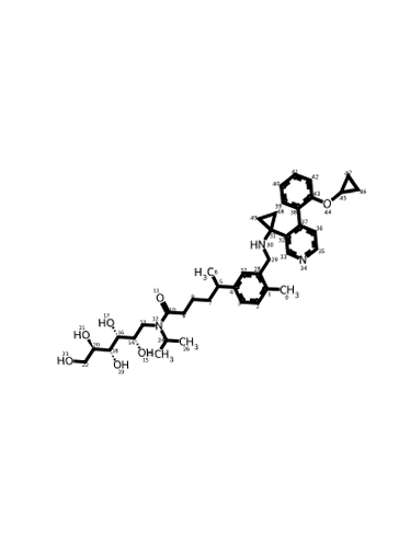 Cc1ccc(C(C)CCCC(=O)N(C[C@H](O)[C@@H](O)[C@H](O)[C@H](O)CO)C(C)C)cc1CNC1(c2cnccc2-c2ccccc2OC2CC2)CC1